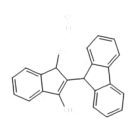 CC1=C(C2c3ccccc3-c3ccccc32)[CH]([Zr+2])c2ccccc21.[Cl-].[Cl-]